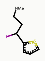 CNCCC(I)c1cccs1